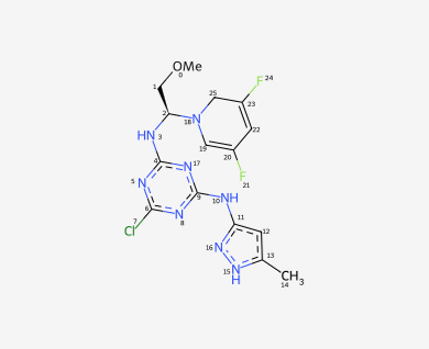 COC[C@H](Nc1nc(Cl)nc(Nc2cc(C)[nH]n2)n1)N1C=C(F)C=C(F)C1